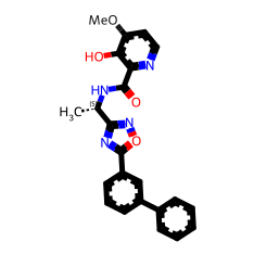 COc1ccnc(C(=O)N[C@@H](C)c2noc(-c3cccc(-c4ccccc4)c3)n2)c1O